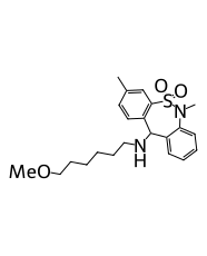 COCCCCCCNC1c2ccccc2N(C)S(=O)(=O)c2cc(C)ccc21